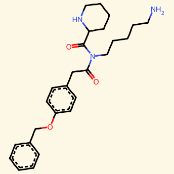 NCCCCCN(C(=O)Cc1ccc(OCc2ccccc2)cc1)C(=O)C1CCCCN1